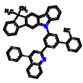 CC1(C)c2ccccc2-c2cc3c(cc21)c1ccccc1n3-c1cc(-c2cc(-c3ccccc3)c3ccccc3n2)cc(-c2ccccc2C#N)c1